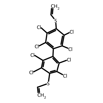 C=CSc1c(Cl)c(Cl)c(-c2c(Cl)c(Cl)c(SC=C)c(Cl)c2Cl)c(Cl)c1Cl